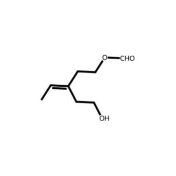 C/C=C(\CCO)CCOC=O